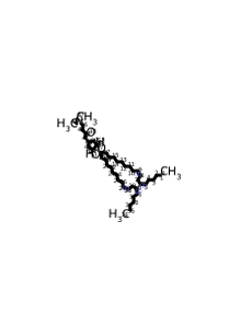 CCCCC/C=C\C/C=C\CCCCCCCCC1(CCCCCCCC/C=C\C/C=C\CCCCC)O[C@H]2C[C@H](CC(=O)CCN(C)C)C[C@H]2O1